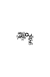 COc1ccc(-c2c(C)nc3sc(C(C)(C)O)nn23)cc1S(=O)(=O)NC1(CO)CC(F)(F)C1